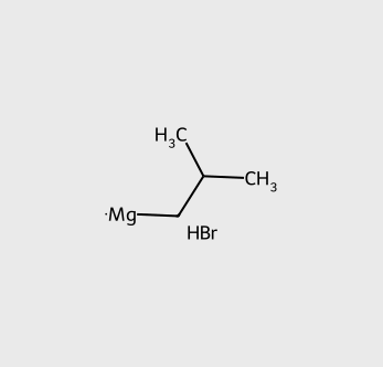 Br.CC(C)[CH2][Mg]